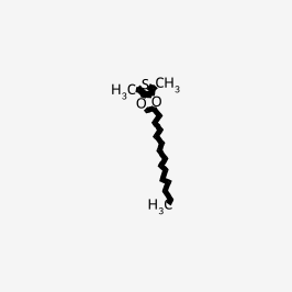 CCCCCCCCCCCCCCC1COc2c(C)sc(C)c2O1